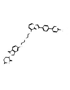 CN(C)c1ccc(-c2ccc(-c3cn4cccc(OCCOCCNc5ccc6c(c5)CN(C5CCC(=O)NC5=O)C6=O)c4n3)cc2)cn1